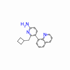 Nc1ccc(-c2cccc3cccnc23)c(CC2CCC2)n1